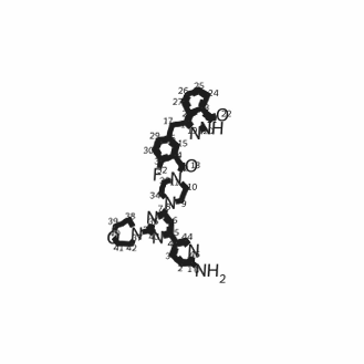 Nc1ccc(-c2cc(N3CCN(C(=O)c4cc(Cc5n[nH]c(=O)c6ccccc56)ccc4F)CC3)nc(N3CCOCC3)n2)cn1